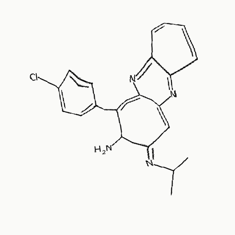 CC(C)N=C1C=c2nc3ccccc3nc2=C(c2ccc(Cl)cc2)C1N